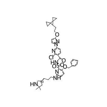 CC1(C)C[C@H](CCCNc2ccc(OCc3ccccc3)c(S(=O)(=O)NC(=O)c3ccc(-n4ccc(OCCC5C6(CC6)C56CC6)n4)nc3Cl)n2)CN1